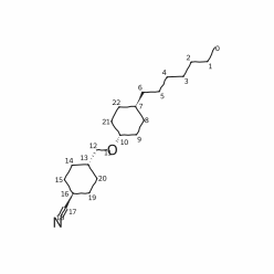 CCCCCCC[C@H]1CC[C@H](OC[C@H]2CC[C@H](C#N)CC2)CC1